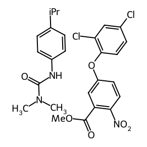 CC(C)c1ccc(NC(=O)N(C)C)cc1.COC(=O)c1cc(Oc2ccc(Cl)cc2Cl)ccc1[N+](=O)[O-]